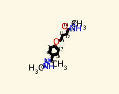 CN/N=C(\C)c1ccc(OCCCC(=O)NC)cc1